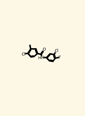 Cc1cc(C(=O)Nc2ccc(F)c(Cl)c2)ccc1Cl